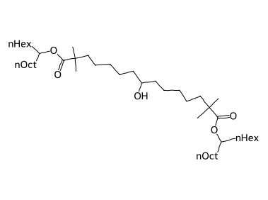 CCCCCCCCC(CCCCCC)OC(=O)C(C)(C)CCCCCC(O)CCCCCC(C)(C)C(=O)OC(CCCCCC)CCCCCCCC